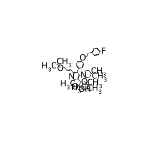 Cc1nc(C=CCOC(C)C)c(-c2ccc(OCCc3ccc(F)cc3)cc2)c(N2CCC(C)(C)CC2)c1C(OC(C)(C)C)C(=O)O